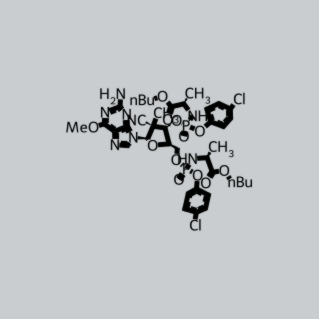 CCCCOC(=O)[C@H](C)NP(=O)(OC[C@H]1O[C@@H](n2cnc3c(OC)nc(N)nc32)[C@](C)(C#N)[C@@H]1OP(=O)(N[C@@H](C)C(=O)OCCCC)Oc1ccc(Cl)cc1)Oc1ccc(Cl)cc1